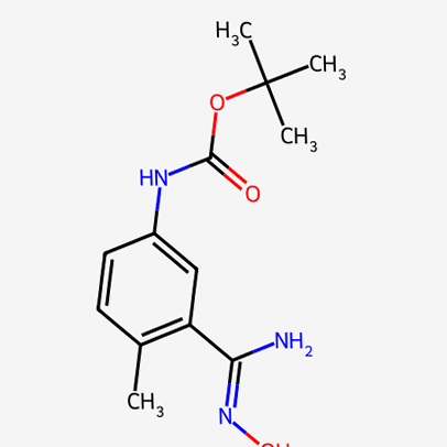 Cc1ccc(NC(=O)OC(C)(C)C)cc1C(N)=NO